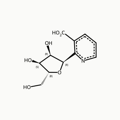 O=C(O)c1cccnc1[C@H]1O[C@H](CO)[C@@H](O)[C@H]1O